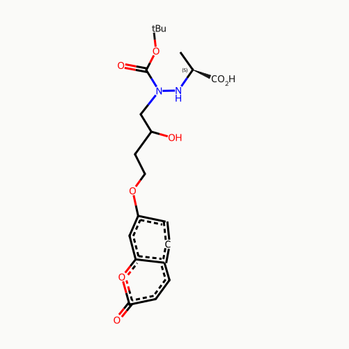 C[C@H](NN(CC(O)CCOc1ccc2ccc(=O)oc2c1)C(=O)OC(C)(C)C)C(=O)O